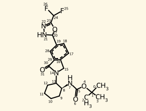 CC(C)(C)OC(=O)N[C@H]1CCCCC1N1Cc2ccc(C3NN=C(C(F)F)O3)cc2C1=O